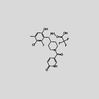 Cc1cc(O)c([C@H](N)C2CCN(C(=O)c3ccc(=O)[nH]c3)CC2)c(F)c1Cl.O=C(O)C(F)(F)F